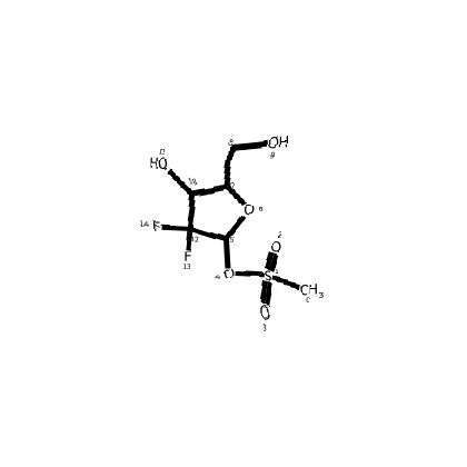 CS(=O)(=O)OC1OC(CO)C(O)C1(F)F